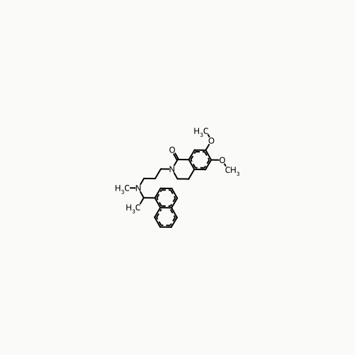 COc1cc2c(cc1OC)C(=O)N(CCCN(C)C(C)c1cccc3ccccc13)CC2